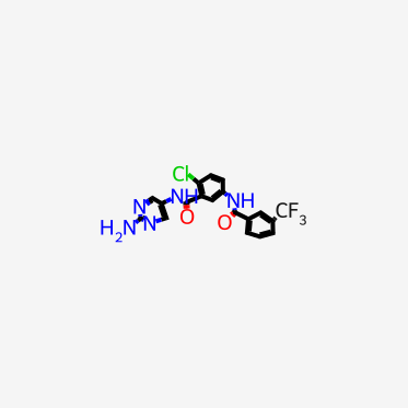 Nc1ncc(NC(=O)c2cc(NC(=O)c3cccc(C(F)(F)F)c3)ccc2Cl)cn1